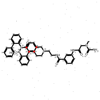 CN(CC(=O)Nc1cccc(C(=O)NCCN2CCC(OC(=O)N(c3ccccc3-c3ccccc3)N(C(=O)O)c3ccccc3-c3ccccc3)CC2)c1)C(N)=O